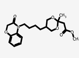 COC(=O)CC1(C)OCC(CCCCN2C(=O)COc3ccccc32)CO1